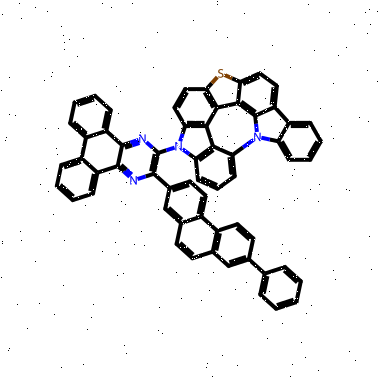 c1ccc(-c2ccc3c(ccc4cc(-c5nc6c7ccccc7c7ccccc7c6nc5-n5c6ccc7sc8ccc9c%10ccccc%10n%10c%11cccc5c%11c6c7c8c9%10)ccc43)c2)cc1